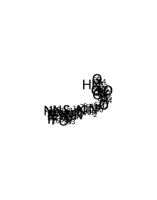 CC(C)N(CC1CCN(c2ccc(N3C(=S)N(c4cnc(C#N)c(C(F)(F)F)c4)C(=O)C34CCC4)cn2)CC1)[C@H]1C[C@H](Oc2ccc3c(c2)C(=O)N(C2CCC(=O)NC2=O)C3=O)C1